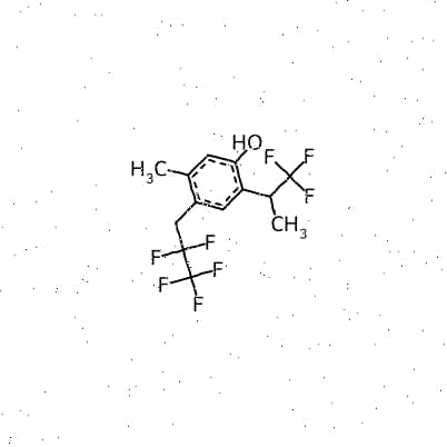 Cc1cc(O)c(C(C)C(F)(F)F)cc1CC(F)(F)C(F)(F)F